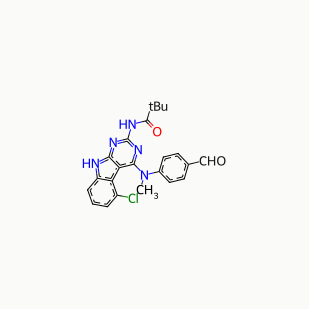 CN(c1ccc(C=O)cc1)c1nc(NC(=O)C(C)(C)C)nc2[nH]c3cccc(Cl)c3c12